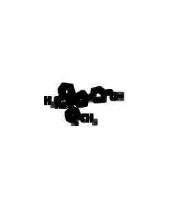 CC(=O)[C@](c1ccc(N2CCC(CO)CC2)cc1)(c1ccnc(C)c1)c1ccccc1C